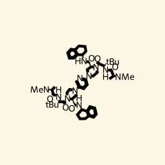 CN[C@@H](C)C(=O)N[C@H](C(=O)N1CCN(c2ccc(N3CCN(C(=O)[C@@H](NC(=O)[C@H](C)NC)C(C)(C)C)[C@H](C(=O)N[C@@H]4CCCc5ccccc54)C3)nc2)C[C@H]1C(=O)N[C@@H]1CCCc2ccccc21)C(C)(C)C